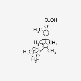 CCC(CC)(c1ccc(OCC(=O)O)c(C)c1)C1CC(C)=C(CCC(O)C(C)(C)C)S1